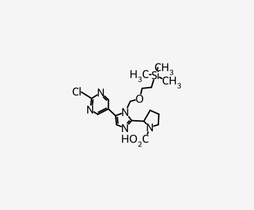 C[Si](C)(C)CCOCn1c(-c2cnc(Cl)nc2)cnc1C1CCCN1C(=O)O